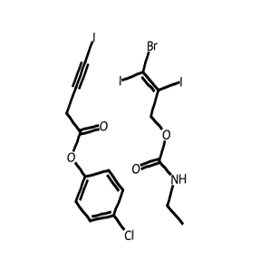 CCNC(=O)OCC(I)=C(Br)I.O=C(CC#CI)Oc1ccc(Cl)cc1